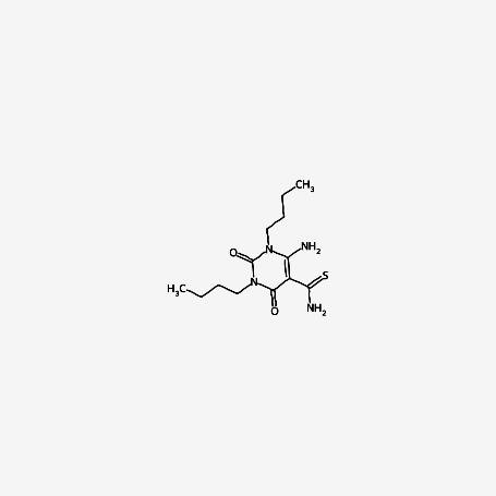 CCCCn1c(N)c(C(N)=S)c(=O)n(CCCC)c1=O